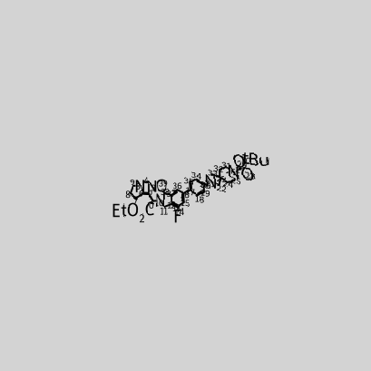 CCOC(=O)C(c1ncn2c1CCC2)N1Cc2c(F)cc(-c3ccc(N4CC5(CCN(C(=O)OC(C)(C)C)CC5)C4)cc3)cc2C1=O